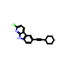 Clc1ccc2c(n1)[nH]c1ccc(C#CC3CCCCC3)cc12